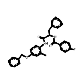 Cc1cc(SCc2ccccc2)ccc1NC(=O)C(Cc1ccccc1)NC(=O)c1ccc(F)cc1